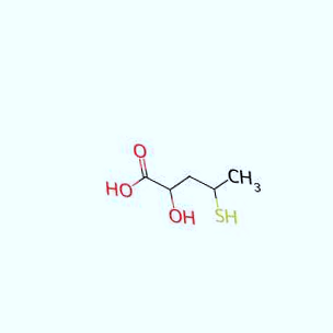 CC(S)CC(O)C(=O)O